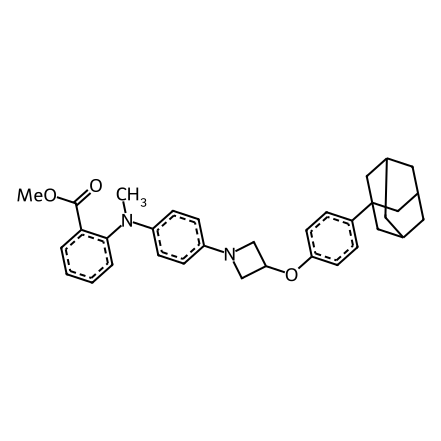 COC(=O)c1ccccc1N(C)c1ccc(N2CC(Oc3ccc(C45CC6CC(CC(C6)C4)C5)cc3)C2)cc1